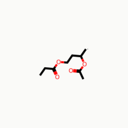 [CH2]C(CCOC(=O)CC)OC(C)=O